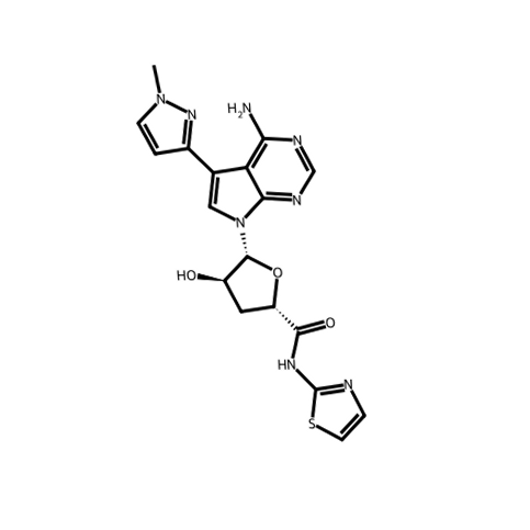 Cn1ccc(-c2cn([C@@H]3O[C@H](C(=O)Nc4nccs4)C[C@H]3O)c3ncnc(N)c23)n1